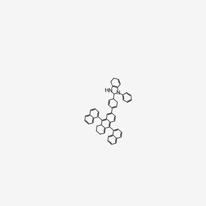 C1=CC2=C(CC1)NC(C1C=CC(c3ccc4c(c3)=C(c3cccc5ccccc35)C3CCCC=C3C=4c3cccc4ccccc34)=CC1)N2c1ccccc1